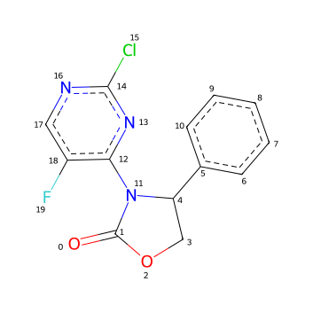 O=C1OCC(c2ccccc2)N1c1nc(Cl)ncc1F